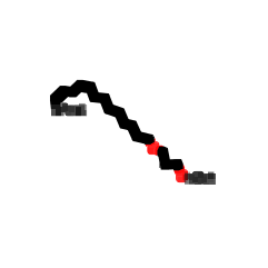 CCCCC/C=C\C/C=C\CCCCCCCCOC[CH]COCCCCCCCC